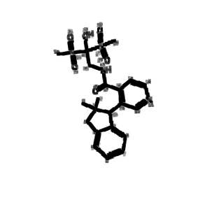 CC1(C)Cc2ccccc2C1c1cnccc1C(=O)NCC(O)(S(C)(=O)=O)S(C)(=O)=O